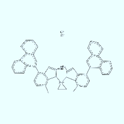 CCCCC1=Cc2c(-c3cc4ccccc4c4ccccc34)ccc(C)c2[CH]1[Zr+2]1([CH]2C(CCCC)=Cc3c(-c4cc5ccccc5c5ccccc45)ccc(C)c32)[CH2][CH2]1.[Cl-].[Cl-]